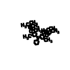 Cc1cc([S+](c2ccccc2)c2cc(C)c(OC(=O)OC(C)(C)C)c(C)c2)cc(C)c1OC(=O)OC(C)(C)C